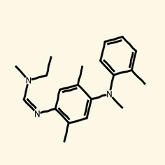 CCN(C)/C=N\c1cc(C)c(N(C)c2ccccc2C)cc1C